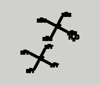 CCCC[N+](CCCC)(CCCC)CCCC.CCC[N+](CCC)(CCC)CCC.O